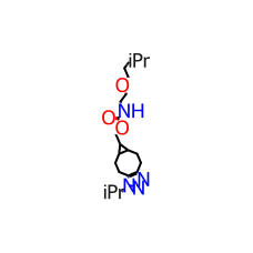 CC(C)CCOCCNC(=O)OCC1C2CCc3nnn(C(C)C)c3CCC21